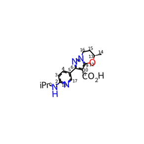 CC(C)Nc1ccc(-c2nn3c(c2C(=O)O)O[C@H](C)CC3)cn1